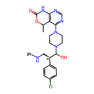 CC(C)NC[C@H](c1ccc(Cl)cc1)C(O)N1CCN(c2ncnc3c2C(C)OC(=O)N3)CC1